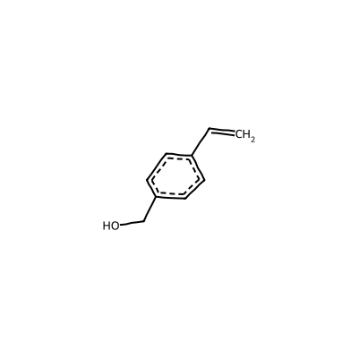 C=Cc1ccc(CO)cc1